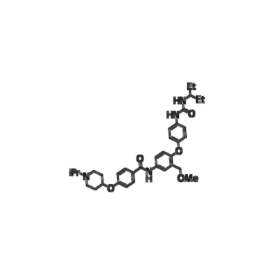 CCC(CC)NC(=O)Nc1ccc(Oc2ccc(NC(=O)c3ccc(OC4CCN(C(C)C)CC4)cc3)cc2COC)cc1